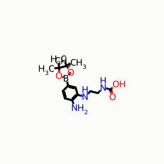 CC1(C)OB(c2ccc(N)c(NCCNC(=O)O)c2)OC1(C)C